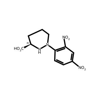 O=C(O)[C@H]1CCCN(c2ccc([N+](=O)[O-])cc2[N+](=O)[O-])N1